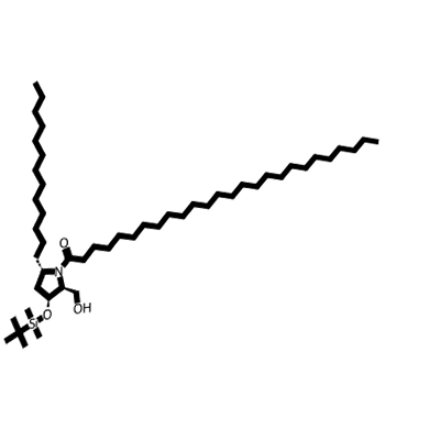 CCCCCCCCCCCCCCCCCCCCCCCCCC(=O)N1[C@@H](CCCCCCCCCCCCC)C[C@@H](O[Si](C)(C)C(C)(C)C)[C@@H]1CO